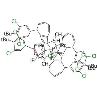 CC(C)C1=CC2=C(C=CC=CC2c2cc(Cl)c(C(C)(C)C)c(Cl)c2)[C]12[SiH](C)[C]1(C(C(C)C)=CC3=C1C=CC=CC3c1cc(Cl)c(C(C)(C)C)c(Cl)c1)[Hf]21([Cl])([Cl])[C]2(C(C(C)C)=CC3=C2C=CC=CC3c2cc(Cl)c(C(C)(C)C)c(Cl)c2)[SiH](C)[C]12C(C(C)C)=CC1=C2C=CC=CC1c1cc(Cl)c(C(C)(C)C)c(Cl)c1